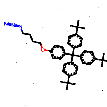 CC(C)(C)c1ccc(C(c2ccc(OCCCCN=[N+]=[N-])cc2)(c2ccc(C(C)(C)C)cc2)c2ccc(C(C)(C)C)cc2)cc1